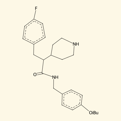 CC(C)COc1ccc(CNC(=O)C(Cc2ccc(F)cc2)C2CCNCC2)cc1